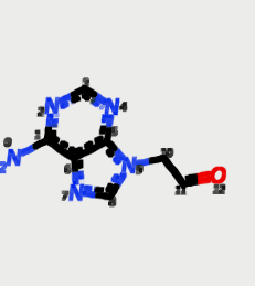 Nc1ncnc2c1ncn2C[C]=O